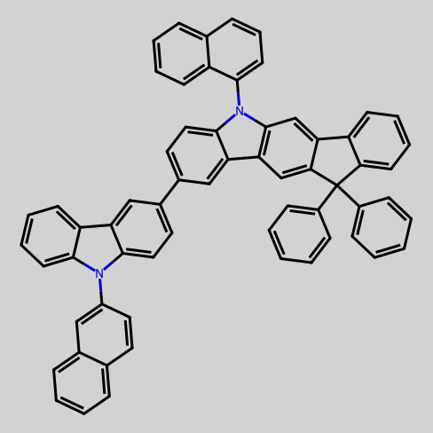 c1ccc(C2(c3ccccc3)c3ccccc3-c3cc4c(cc32)c2cc(-c3ccc5c(c3)c3ccccc3n5-c3ccc5ccccc5c3)ccc2n4-c2cccc3ccccc23)cc1